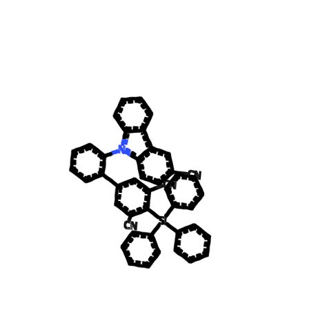 N#Cc1ccc2c(c1)c1ccccc1n2-c1ccccc1-c1cc(C#N)c([Si](c2ccccc2)(c2ccccc2)c2ccccc2)c(C#N)c1